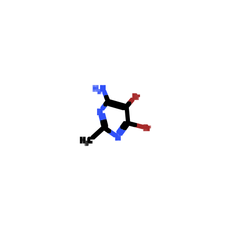 Cc1nc(N)c(Br)c(Br)n1